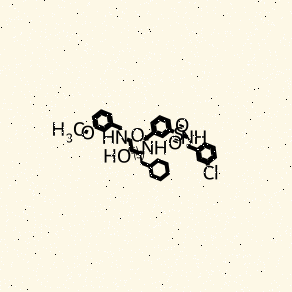 COc1cccc(CNC[C@H](O)[C@H](CC2CCCCC2)NC(=O)c2cccc(S(=O)(=O)NCc3cccc(Cl)c3)c2)c1